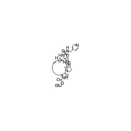 CC(C)(C)OC(=O)N[C@H]1CCCCC/C=C\[C@@H]2C[C@@]2(C(=O)NS(=O)(=O)NCc2ccncc2)NC(=O)[C@@H]2CCCN2C1=O